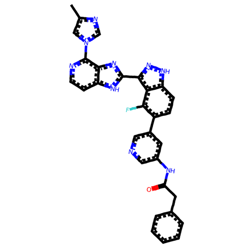 Cc1cn(-c2nccc3[nH]c(-c4n[nH]c5ccc(-c6cncc(NC(=O)Cc7ccccc7)c6)c(F)c45)nc23)cn1